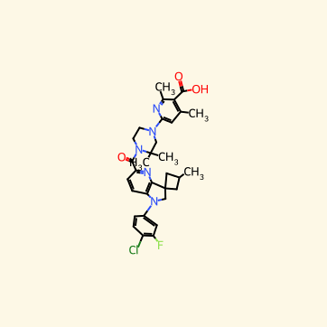 Cc1cc(N2CCN(C(=O)c3ccc4c(n3)C3(CC(C)C3)CN4c3ccc(Cl)c(F)c3)C(C)(C)C2)nc(C)c1C(=O)O